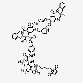 C=C(C)[C@H](NC(=O)CCCCCN1C(=O)C=CC1=O)C(=O)N[C@@H](C)C(=O)Nc1ccc(COC(=O)N2c3cc(OCc4ccnc(COc5cc6c(cc5OC)C(=O)N5Cc7ccccc7C[C@H]5C=N6)c4)c(OC)cc3C(=O)N3Cc4ccccc4CC3C2O)cc1